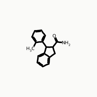 Cc1ccccc1C1c2ccccc2CC1C(N)=O